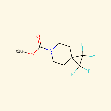 CC(C)(C)OC(=O)N1CCC2(CC1)C(F)(F)C2(F)F